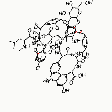 CN[C@H](CC(C)C)C(=O)N[C@@H]1C(=O)NC(CC(N)=O)C(=O)NC2C(=O)NC3C(=O)N[C@H](C(=O)NC(C(=O)O)c4cc(O)cc(O)c4-c4cc3ccc4O)[C@H](O)c3ccc(c(Cl)c3)Oc3cc2cc(c3OC2OC(CO)C(O)C(O)C2OC2CC(C)(NCC(OCc3ccc(Cl)cc3)C(=O)O)C(O)C(C)O2)Oc2ccc(cc2Cl)C1O